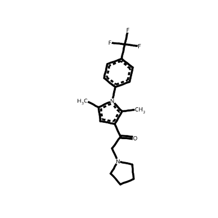 Cc1cc(C(=O)CN2CCCC2)c(C)n1-c1ccc(C(F)(F)F)cc1